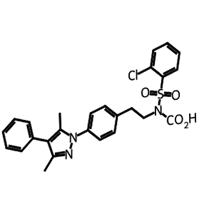 Cc1nn(-c2ccc(CCN(C(=O)O)S(=O)(=O)c3ccccc3Cl)cc2)c(C)c1-c1ccccc1